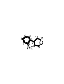 CC(=O)c1ccccc1C1CCOCC1